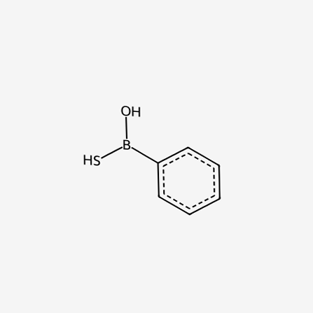 OB(S)c1ccccc1